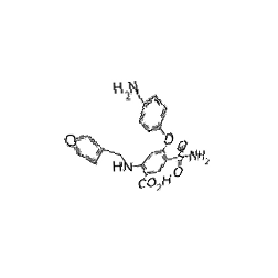 Nc1ccc(Oc2cc(NCc3ccoc3)c(C(=O)O)cc2S(N)(=O)=O)cc1